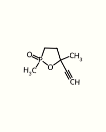 C#CC1(C)CCP(C)(=O)O1